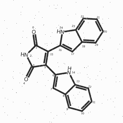 O=C1NC(=O)C(c2cc3ccccc3[nH]2)=C1c1cc2ccccc2[nH]1